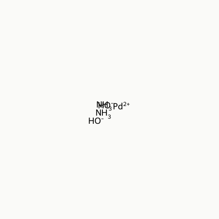 N.N.[OH-].[OH-].[Pd+2]